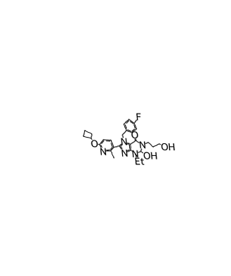 CCN1c2nc(-c3ccc(OC4CCC4)nc3C)n(Cc3ccc(F)cc3)c2C(=O)N(CCCO)C1O